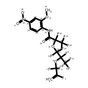 C=C(F)C(F)(F)OC(F)(C(F)(F)F)C(F)(F)OC(F)(C(=O)Nc1ccc([N+](=O)[O-])cc1OC)C(F)(F)F